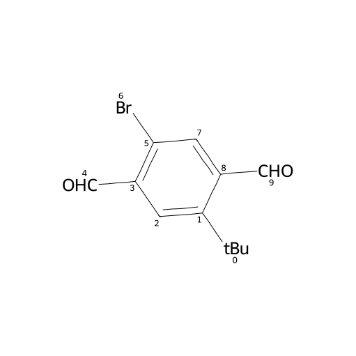 CC(C)(C)c1cc(C=O)c(Br)cc1C=O